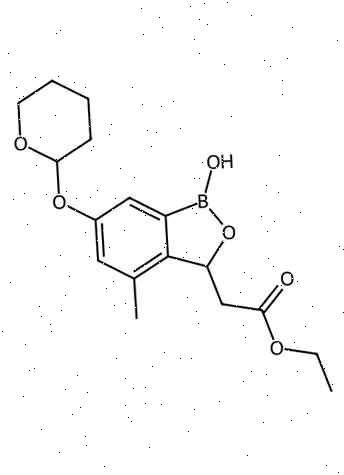 CCOC(=O)CC1OB(O)c2cc(OC3CCCCO3)cc(C)c21